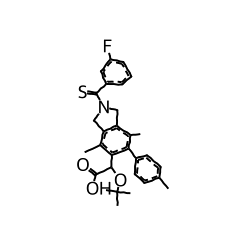 Cc1ccc(-c2c(C)c3c(c(C)c2C(OC(C)(C)C)C(=O)O)CN(C(=S)c2cccc(F)c2)C3)cc1